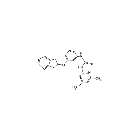 Cc1cc(C)nc(NC(=N)Nc2cccc(OC3Cc4ccccc4C3)c2)n1